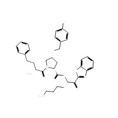 CN[C@H](CCc1ccccc1)C(=O)N1C[C@H](OCc2ccc(Cl)cc2)C[C@H]1C(=O)N[C@@H](CCCCN)C(=O)c1nc2ccccc2o1